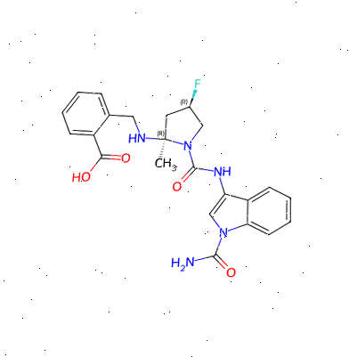 C[C@]1(NCc2ccccc2C(=O)O)C[C@@H](F)CN1C(=O)Nc1cn(C(N)=O)c2ccccc12